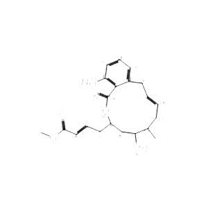 COC(=O)/C=C/CC1CC(O)C(C)C/C=C/Cc2cccc(O)c2C(=O)O1